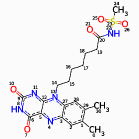 Cc1cc2nc3c(=O)[nH]c(=O)nc-3n(CCCCCCC(=O)NS(C)(=O)=O)c2cc1C